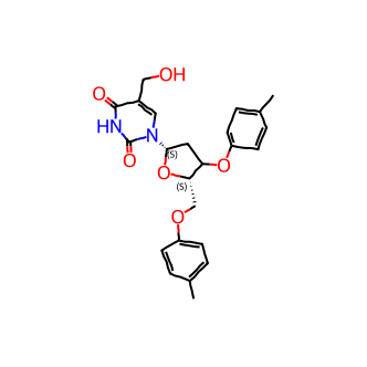 Cc1ccc(OC[C@@H]2O[C@H](n3cc(CO)c(=O)[nH]c3=O)CC2Oc2ccc(C)cc2)cc1